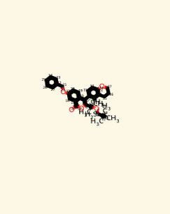 Cc1c(-c2c(C(C)(C)O[SiH2]C(C)(C)C)oc(=O)c3cc(OCc4ccccc4)ccc23)ccc2c1CCCO2